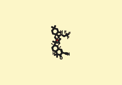 CC(=O)C[C@@H]1[C@@]2(C)C=C(C#N)C(=O)C(C)(C)[C@@H]2CC[C@@]1(C)C(C)(C)CC[C@@]1(C(=O)NCC(F)(F)F)CCC(C)(C)CC1C